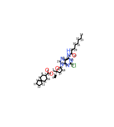 C#C[C@@]1(COC(=O)C2CCC3(CCCC3)CC2)CC[C@H](n2cnc3c(NC(=O)CCCCCCC)nc(Cl)nc32)O1